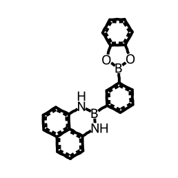 c1cc(B2Nc3cccc4cccc(c34)N2)cc(B2Oc3ccccc3O2)c1